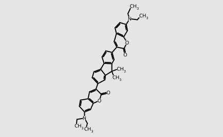 CCN(CC)c1ccc2cc(-c3ccc4c(c3)C(C)(C)c3cc(-c5cc6ccc(N(CC)CC)cc6oc5=O)ccc3-4)c(=O)oc2c1